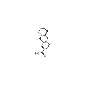 CN1c2cc(C(=O)O)ccc2Sc2nccnc21